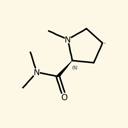 CN(C)C(=O)[C@@H]1C[CH]CN1C